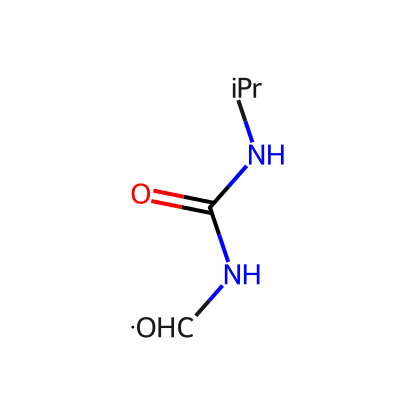 CC(C)NC(=O)N[C]=O